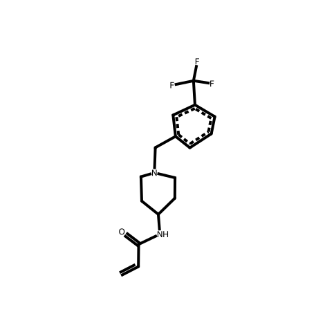 C=CC(=O)NC1CCN(Cc2cccc(C(F)(F)F)c2)CC1